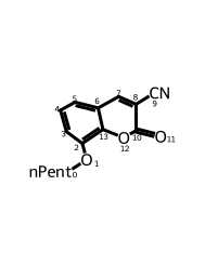 CCCCCOc1cccc2cc(C#N)c(=O)oc12